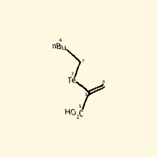 C=C([Te]CCCCC)C(=O)O